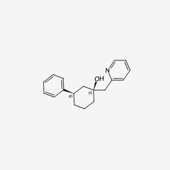 O[C@@]1(Cc2ccccn2)CCC[C@@H](c2ccccc2)C1